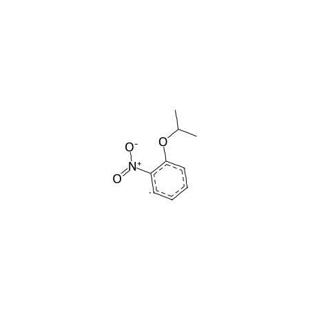 CC(C)Oc1ccc[c]c1[N+](=O)[O-]